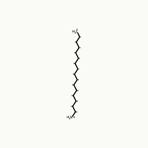 CCCCCCCCCCCCCCCC[SiH3]